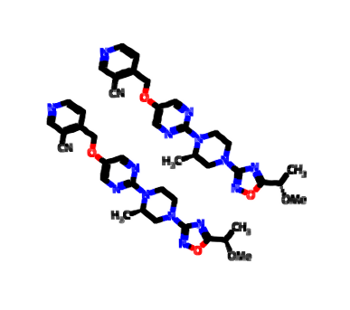 CO[C@@H](C)c1nc(N2CCN(c3ncc(OCc4ccncc4C#N)cn3)[C@H](C)C2)no1.CO[C@H](C)c1nc(N2CCN(c3ncc(OCc4ccncc4C#N)cn3)[C@H](C)C2)no1